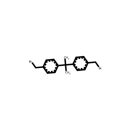 CC(C)(c1ccc(CBr)cc1)c1ccc(CBr)cc1